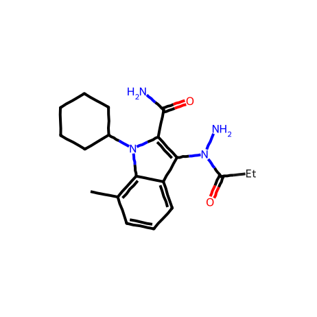 CCC(=O)N(N)c1c(C(N)=O)n(C2CCCCC2)c2c(C)cccc12